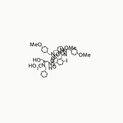 COc1ccc(CN(Cc2ccc(OC)cc2)S(=O)(=O)c2c(S(=O)(=O)NC[C@H](CO)N(Cc3ccccc3)C(=O)O)ccc(I)c2-c2nnn(Cc3ccc(OC)cc3)n2)cc1